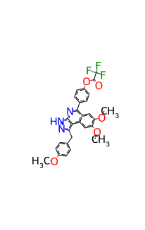 COc1ccc(Cc2n[nH]c3nc(-c4ccc(OC(=O)C(F)(F)F)cc4)c4cc(OC)c(OC)cc4c23)cc1